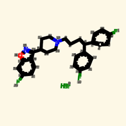 Br.Fc1ccc(C(CCCN2CCC(c3noc4cc(F)ccc34)CC2)c2ccc(F)cc2)cc1